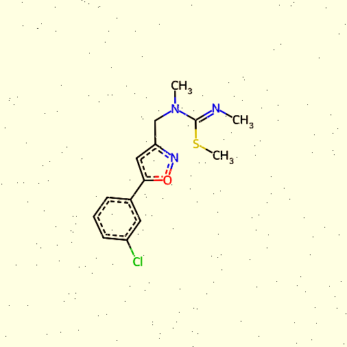 C/N=C(\SC)N(C)Cc1cc(-c2cccc(Cl)c2)on1